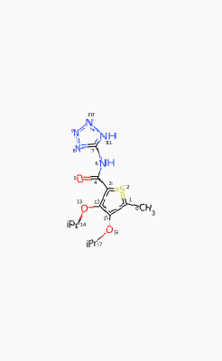 Cc1sc(C(=O)Nc2nnn[nH]2)c(OC(C)C)c1OC(C)C